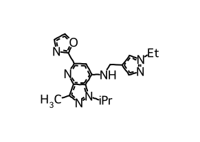 CCn1cc(CNc2cc(-c3ncco3)nc3c(C)nn(C(C)C)c23)cn1